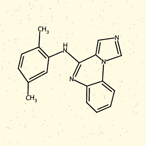 Cc1ccc(C)c(Nc2nc3ccccc3n3cncc23)c1